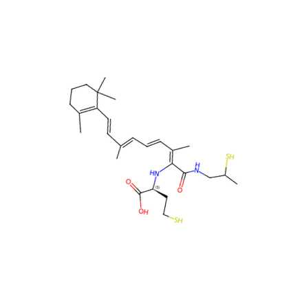 CC(C=CC1=C(C)CCCC1(C)C)=CC=CC(C)=C(N[C@@H](CCS)C(=O)O)C(=O)NCC(C)S